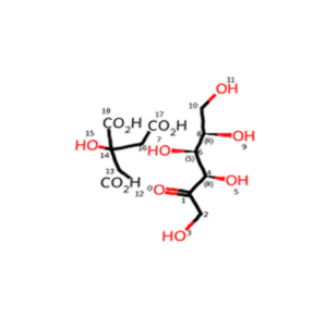 O=C(CO)[C@H](O)[C@@H](O)[C@H](O)CO.O=C(O)CC(O)(CC(=O)O)C(=O)O